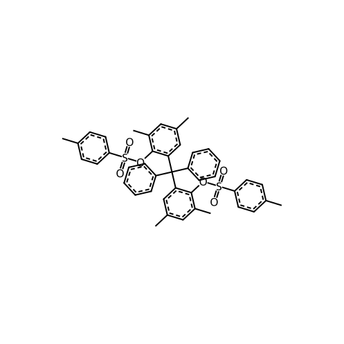 Cc1ccc(S(=O)(=O)Oc2c(C)cc(C)cc2C(c2ccccc2)(c2ccccc2)c2cc(C)cc(C)c2OS(=O)(=O)c2ccc(C)cc2)cc1